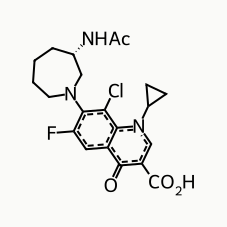 CC(=O)N[C@H]1CCCCN(c2c(F)cc3c(=O)c(C(=O)O)cn(C4CC4)c3c2Cl)C1